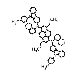 CCCc1cc(N(c2ccc3c(c2)c2ccccc2n3-c2ccc(C)cc2)c2cccc3c2CCCC3)c2ccc3c(CCC)cc(N(c4ccc5c6ccccc6n(-c6ccc(C)cc6)c5c4)c4cccc5c4CCCC5)c4ccc1c2c34